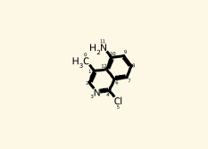 Cc1cnc(Cl)c2cccc(N)c12